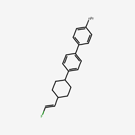 CCCc1ccc(-c2ccc(C3CCC(/C=C/F)CC3)cc2)cc1